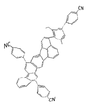 Cc1cc(-c2ccc(C#N)cc2)cc(C)c1-c1ccc2c3c(cccc13)-c1cc3c(cc1-2)c(-c1ccc(C#N)cc1)cc1c2ccccc2c(-c2ccc(C#N)cc2)cc31